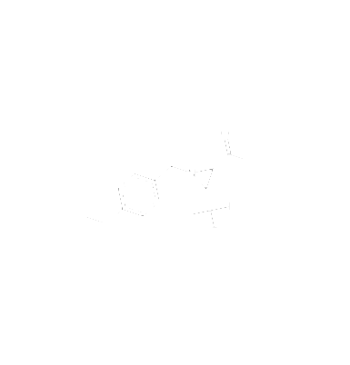 COc1ccc(CN2[C@H](C(=O)O)[C@@H]2C(F)(F)F)cc1